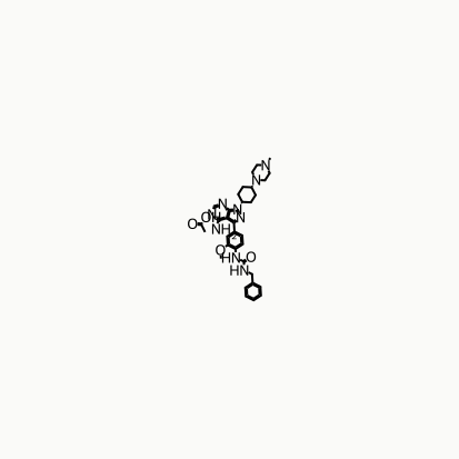 CC(=O)O.COc1cc(-c2nn([C@H]3CC[C@@H](N4CCN(C)CC4)CC3)c3ncnc(N)c23)ccc1NC(=O)NCc1ccccc1